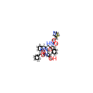 O=C(N[C@H](CC[C@H](Cc1ccccc1)NC(=O)[C@@H]1C[C@@H](O)CN1C(=O)OCc1ccccc1)Cc1ccccc1)OCc1cncs1